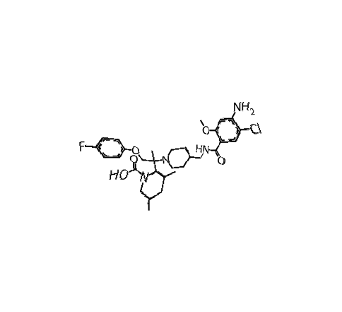 COc1cc(N)c(Cl)cc1C(=O)NCC1CCN(C(C)(COc2ccc(F)cc2)C2C(C)CC(C)CN2C(=O)O)CC1